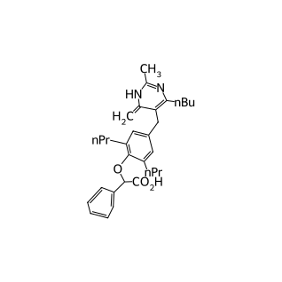 C=C1NC(C)=NC(CCCC)=C1Cc1cc(CCC)c(OC(C(=O)O)c2ccccc2)c(CCC)c1